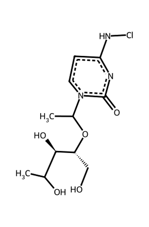 CC(O)[C@@H](O)[C@@H](CO)OC(C)n1ccc(NCl)nc1=O